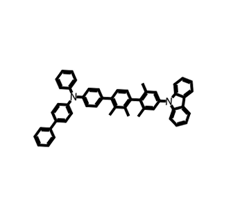 Cc1cc(-n2c3ccccc3c3ccccc32)cc(C)c1-c1ccc(-c2ccc(N(c3ccccc3)c3ccc(-c4ccccc4)cc3)cc2)c(C)c1C